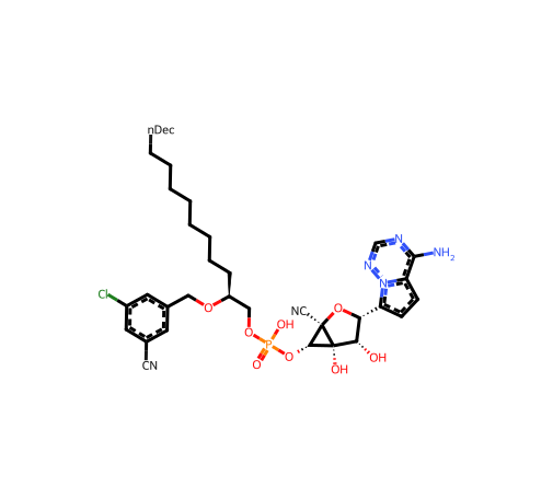 CCCCCCCCCCCCCCCCCC[C@@H](COP(=O)(O)O[C@H]1[C@]2(O)[C@@H](O)[C@@H](c3ccc4c(N)ncnn34)O[C@]12C#N)OCc1cc(Cl)cc(C#N)c1